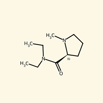 CCN(CC)C(=O)[C@@H]1CCCN1C